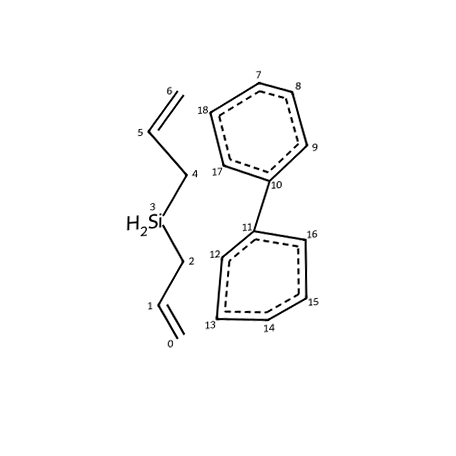 C=CC[SiH2]CC=C.c1ccc(-c2ccccc2)cc1